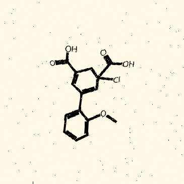 COc1ccccc1C1=CC(Cl)(C(=O)O)CC(C(=O)O)=C1